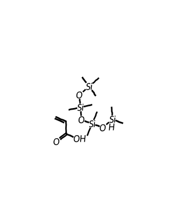 C=CC(=O)O.C[SiH](C)O[Si](C)(C)O[Si](C)(C)O[Si](C)(C)C